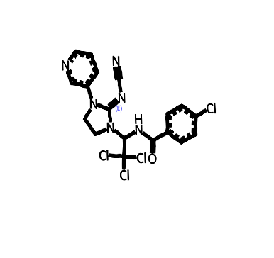 N#C/N=C1\N(c2cccnc2)CCN1C(NC(=O)c1ccc(Cl)cc1)C(Cl)(Cl)Cl